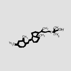 C=C1CC/C(=C/C=C2\CCC[C@@]3(C)C2CCC3C(C)CCCC(C)(C)O)C(=C)C1